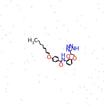 CCCC/C=C/C=C/Oc1ccc(C(=O)Nc2cccc3c2OC(c2nnn[nH]2)CO3)cc1